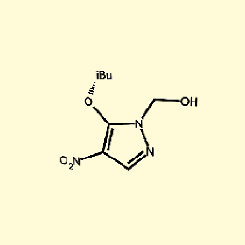 CC[C@@H](C)Oc1c([N+](=O)[O-])cnn1CO